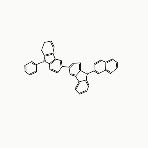 C1=Cc2c(n(-c3ccccc3)c3ccc(-c4ccc5c(c4)c4ccccc4n5-c4ccc5ccccc5c4)cc23)CC1